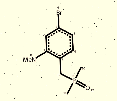 CNc1cc(Br)ccc1CP(C)(C)=O